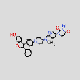 CN(Cc1ccc(N2CCC(=O)NC2=O)cn1)C1CCN(c2ccc(C3c4ccc(O)cc4OCC3c3ccccc3)cc2)CC1